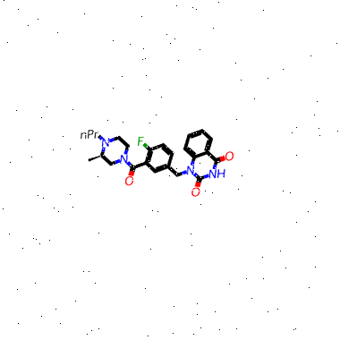 CCCN1CCN(C(=O)c2cc(Cn3c(=O)[nH]c(=O)c4ccccc43)ccc2F)C[C@H]1C